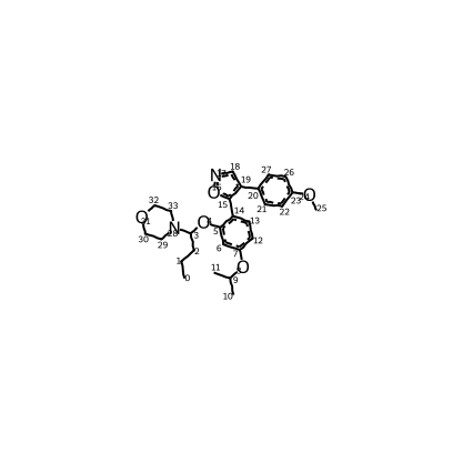 CCCC(Oc1cc(OC(C)C)ccc1-c1oncc1-c1ccc(OC)cc1)N1CCOCC1